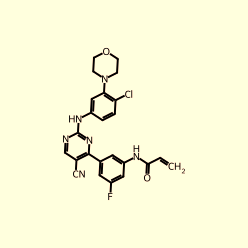 C=CC(=O)Nc1cc(F)cc(-c2nc(Nc3ccc(Cl)c(N4CCOCC4)c3)ncc2C#N)c1